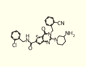 N#Cc1ccccc1Cn1c(N2CCCC(N)C2)nc2cc(C(=O)NCc3ccccc3Cl)sc2c1=O